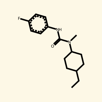 CCC1CCC(N(C)C(=O)Nc2ccc(F)cc2)CC1